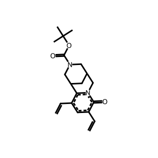 C=Cc1cc(C=C)c(=O)n2c1C1CC(CN(C(=O)OC(C)(C)C)C1)C2